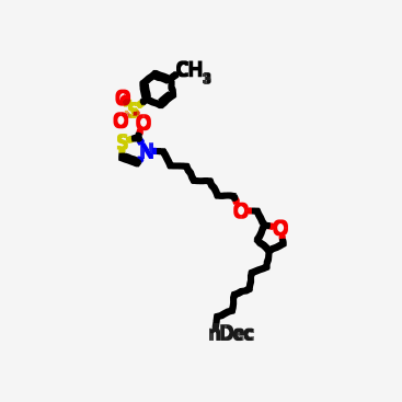 CCCCCCCCCCCCCCCCC1COC(COCCCCCCCN2C=CSC2OS(=O)(=O)c2ccc(C)cc2)C1